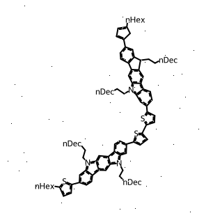 CCCCCCCCCCCCC1c2cc(C3=CC=C(CCCCCC)C3)ccc2-c2cc3c(cc21)c1ccc(-c2ccc(-c4ccc(-c5ccc6c7cc8c(cc7n(CCCCCCCCCCCC)c6c5)c5ccc(-c6ccc(CCCCCC)s6)cc5n8CCCCCCCCCCCC)s4)s2)cc1n3CCCCCCCCCCCC